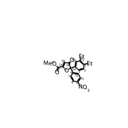 CCc1ccc(C2(c3ccc([N+](=O)[O-])cc3)OC(C(=O)OC)=CC2=O)cc1CC